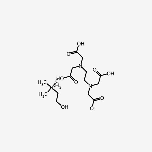 C[N+](C)(C)CCO.O=C([O-])CN(CCN(CC(=O)O)CC(=O)O)CC(=O)O